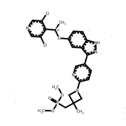 COP(=O)(CC1(C)CN(c2ccc(-c3n[nH]c4ccc(O[C@H](C)c5c(Cl)cncc5Cl)cc34)cn2)C1)OC